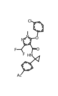 CC(=O)c1ccc(C2(NC(=O)c3c(C(F)F)nn(C)c3Oc3cccc(Cl)c3)CC2)cc1